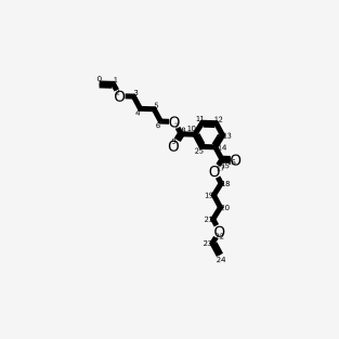 C=COCCCCOC(=O)c1cccc(C(=O)OCCCCOC=C)c1